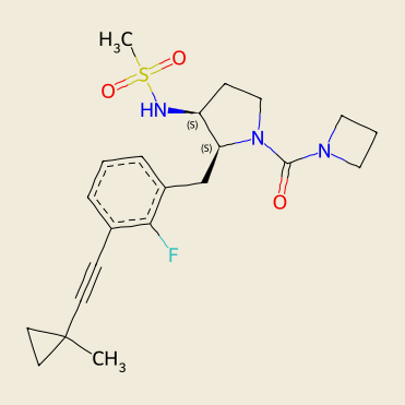 CC1(C#Cc2cccc(C[C@H]3[C@@H](NS(C)(=O)=O)CCN3C(=O)N3CCC3)c2F)CC1